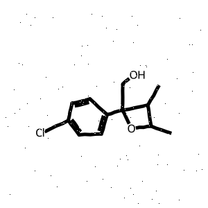 CC1OC(CO)(c2ccc(Cl)cc2)C1C